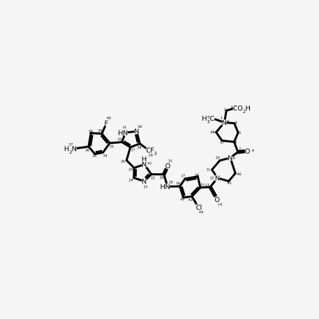 C[N+]1(CC(=O)O)CCC(C(=O)N2CCN(C(=O)c3ccc(NC(=O)c4ncc(Cc5c(C(F)(F)F)n[nH]c5-c5ccc(N)cc5F)[nH]4)cc3Cl)CC2)CC1